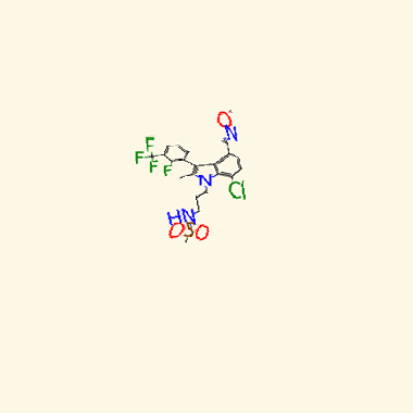 CON=Cc1ccc(Cl)c2c1c(-c1cccc(C(F)(F)F)c1F)c(C)n2CCCNS(C)(=O)=O